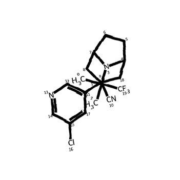 CC(C)(N1C2CCC1CC(C#N)(c1cncc(Cl)c1)C2)C(F)(F)F